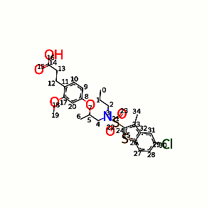 CCCN(CC(C)Oc1ccc(CCC(=O)O)c(OC)c1)S(=O)(=O)c1sc2ccc(Cl)cc2c1C